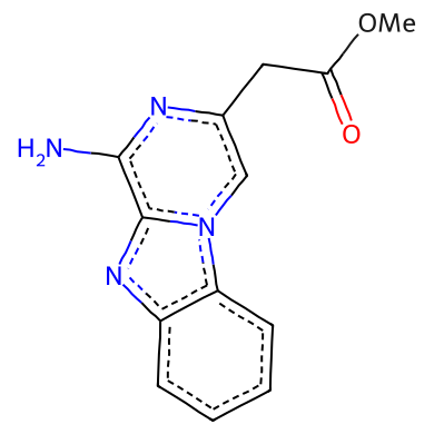 COC(=O)Cc1cn2c(nc3ccccc32)c(N)n1